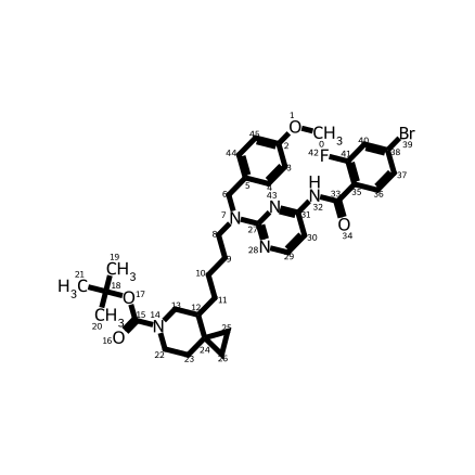 COc1ccc(CN(CCCCC2CN(C(=O)OC(C)(C)C)CCC23CC3)c2nccc(NC(=O)c3ccc(Br)cc3F)n2)cc1